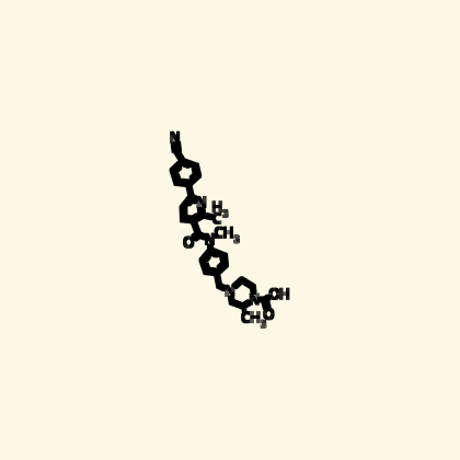 Cc1nc(-c2ccc(C#N)cc2)ccc1C(=O)N(C)c1ccc(CN2CCN(C(=O)O)[C@@H](C)C2)cc1